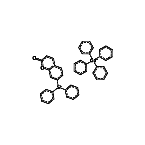 O=c1ccc2ccc([S+](c3ccccc3)c3ccccc3)cc2o1.c1cc[c]([Ga-]([c]2ccccc2)([c]2ccccc2)[c]2ccccc2)cc1